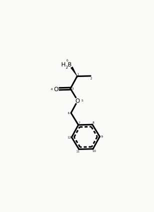 B[C@@H](C)C(=O)OCc1ccccc1